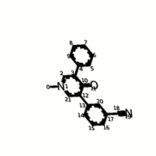 Cn1cc(-c2ccccc2)c(=O)c(-c2cccc(C#N)c2)c1